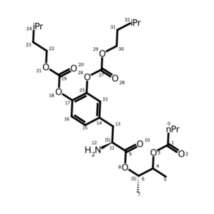 CCCC(=O)OC(C)[C@H](C)OC(=O)[C@@H](N)Cc1ccc(OC(=O)OCCC(C)C)c(OC(=O)OCCC(C)C)c1